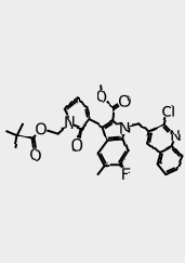 COC(=O)c1c(-c2cccn(COC(=O)C(C)(C)C)c2=O)c2cc(C)c(F)cc2n1Cc1cc2ccccc2nc1Cl